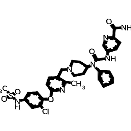 Cc1nc(Oc2ccc(NS(C)(=O)=O)cc2Cl)ccc1CN1CCC(N(C(=O)Nc2ccc(C(N)=O)nc2)c2ccccc2)CC1